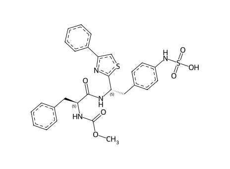 COC(=O)N[C@@H](Cc1ccccc1)C(=O)N[C@@H](Cc1ccc(NS(=O)(=O)O)cc1)c1nc(-c2ccccc2)cs1